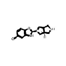 Clc1ccc2c(c1)NC(N1CC3CNC[C@@H]3C1)O2